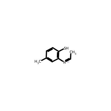 C/C=N\c1cc(C)ccc1S